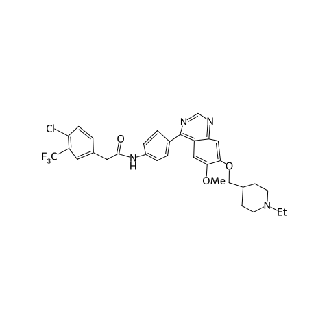 CCN1CCC(COc2cc3ncnc(-c4ccc(NC(=O)Cc5ccc(Cl)c(C(F)(F)F)c5)cc4)c3cc2OC)CC1